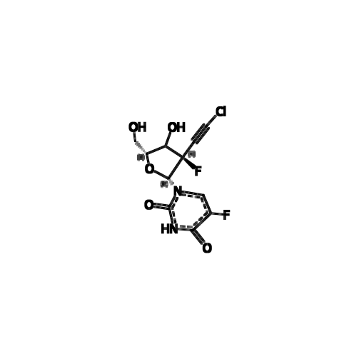 O=c1[nH]c(=O)n([C@@H]2O[C@H](CO)C(O)[C@]2(F)C#CCl)cc1F